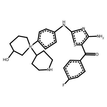 Nc1nc(Nc2ccc([N+]3(C4CCNCC4)CCCC(O)C3)cc2)sc1C(=O)c1ccc(F)cc1